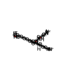 Cc1c(F)c(F)c(OC(=O)CCOCCOCCOCCOCCNC(=O)[C@H](CCCCNC(=O)CCOCCOCCN=[N+]=[N-])NC(=O)CCCNC(=O)CCOCCOCCN=[N+]=[N-])c(F)c1F